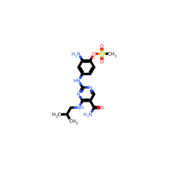 CC(C)CNc1nc(Nc2ccc(OS(C)(=O)=O)c(N)c2)ncc1C(N)=O